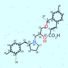 Cc1ccc(/C=C/C(=O)O)c([C@@H](C)OC[C@@H](O)CN2CCC[C@H]2Cc2ccc(C)c(F)c2)c1